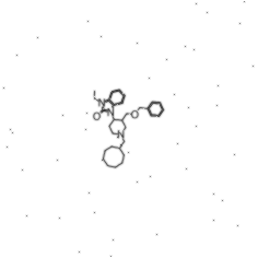 CCn1c(=O)n(C2CCN(CC3CCCCCCC3)CC2COCc2ccccc2)c2ccccc21